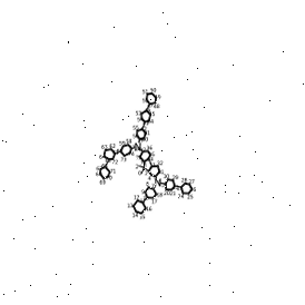 CC1(C)c2cc(N(c3ccc(-c4ccccc4)cc3)c3ccc(-c4ccccc4)cc3)ccc2-c2ccc(N(c3ccc(-c4ccc(-c5ccccc5)cc4)cc3)c3ccc(-c4cccc(-c5ccccc5)c4)cc3)cc21